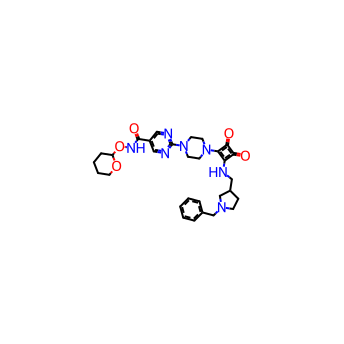 O=C(NOC1CCCCO1)c1cnc(N2CCN(c3c(NCC4CCN(Cc5ccccc5)C4)c(=O)c3=O)CC2)nc1